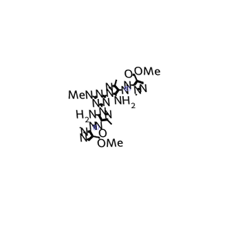 CNc1nc(-n2nc(C)c(/N=N/c3c(C(=O)OC)cnn3C)c2N)nc(-n2nc(C)c(/N=N/c3c(C(=O)OC)cnn3C)c2N)n1